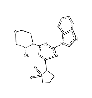 C[C@@H]1COCCN1c1cc([C@H]2CCCS2(=O)=O)nc(-n2cnc3ccccc32)n1